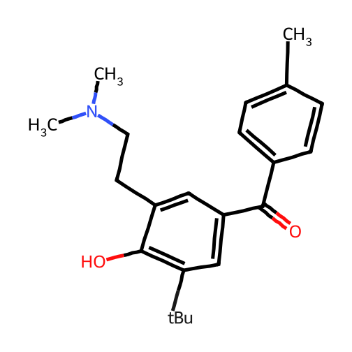 Cc1ccc(C(=O)c2cc(CCN(C)C)c(O)c(C(C)(C)C)c2)cc1